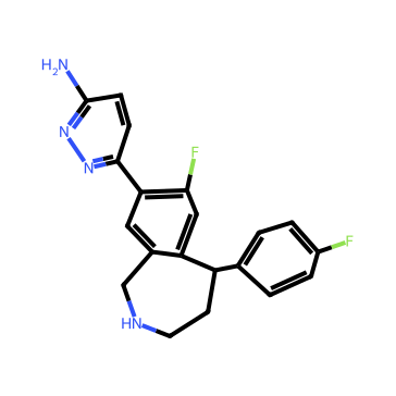 Nc1ccc(-c2cc3c(cc2F)C(c2ccc(F)cc2)CCNC3)nn1